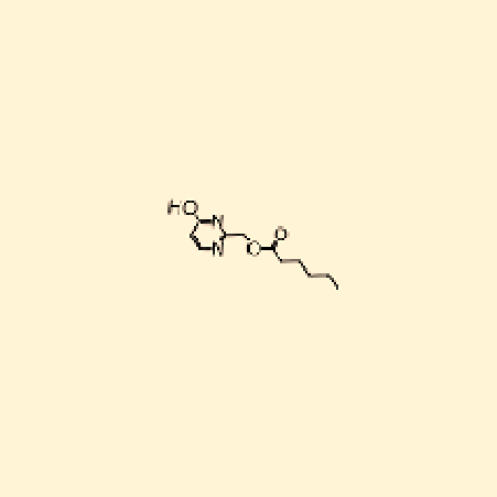 CCCCCC(=O)OCc1nccc(O)n1